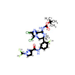 CC(C)(C)OC(=O)NC1=N[C@@](C)(c2cc(NC(=O)c3ccn(C(F)F)n3)ccc2F)Cn2c1nc(Cl)c2Cl